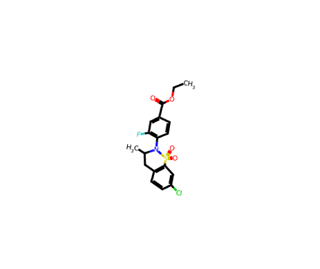 CCOC(=O)c1ccc(N2C(C)Cc3ccc(Cl)cc3S2(=O)=O)c(F)c1